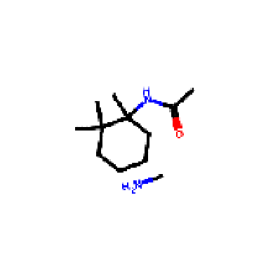 CC(=O)NC1(C)CCCCC1(C)C.CN